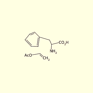 C=COC(C)=O.NC(Cc1ccccc1)C(=O)O